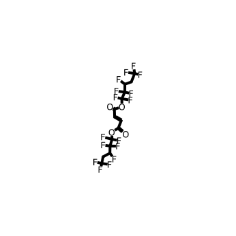 O=C(C=CC(=O)OC(F)(F)C(F)(F)C(F)CC(F)(F)F)OC(F)(F)C(F)(F)C(F)CC(F)(F)F